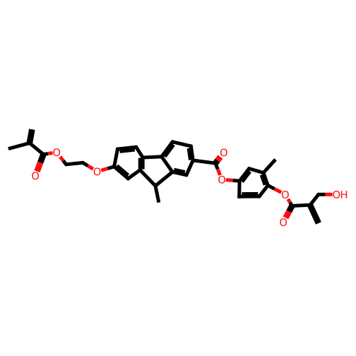 C=C(C)C(=O)OCCOc1ccc2c(c1)C(C)c1cc(C(=O)Oc3ccc(OC(=O)C(=C)CO)c(C)c3)ccc1-2